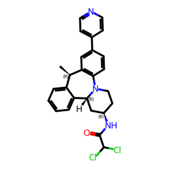 C[C@@H]1c2ccccc2[C@H]2C[C@H](NC(=O)C(Cl)Cl)CCN2c2ccc(-c3ccncc3)cc21